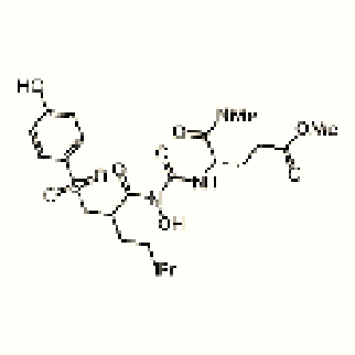 CNC(=O)[C@H](CCC(=O)OC)NC(=O)N(O)C(=O)C(CCC(C)C)CS(=O)(=O)c1ccc(O)cc1